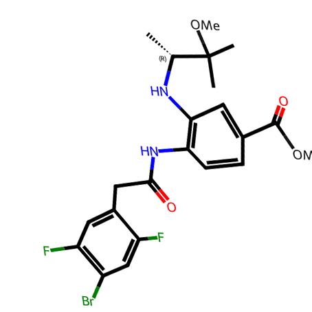 COC(=O)c1ccc(NC(=O)Cc2cc(F)c(Br)cc2F)c(N[C@H](C)C(C)(C)OC)c1